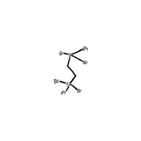 CC(C)[Si](Br)(Br)CC[Si](Br)(Br)C(C)C